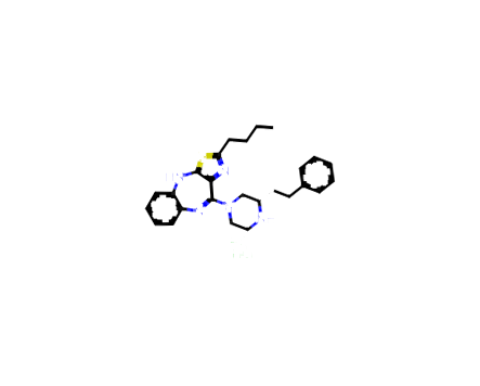 CCCCc1nc2c(s1)Nc1ccccc1N=C2N1CCN[C@@H](CCc2ccccc2)C1.Cl.Cl